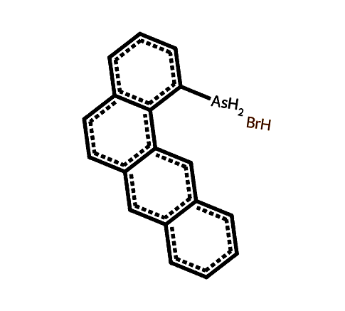 Br.[AsH2]c1cccc2ccc3cc4ccccc4cc3c12